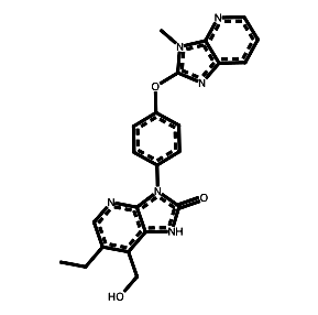 CCc1cnc2c([nH]c(=O)n2-c2ccc(Oc3nc4cccnc4n3C)cc2)c1CO